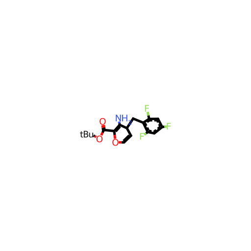 CC(C)(C)OC(=O)C1=C(N)C(Cc2c(F)cc(F)cc2F)C=CO1